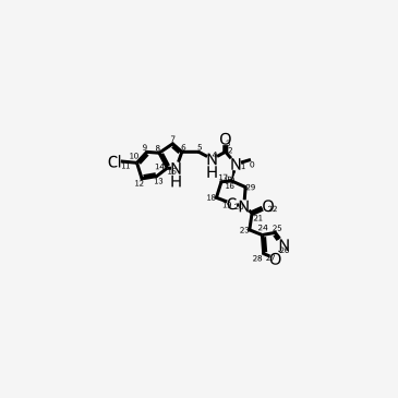 CN(C(=O)NCc1cc2cc(Cl)ccc2[nH]1)[C@@H]1CCCN(C(=O)Cc2cnoc2)C1